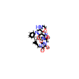 COc1ccccc1N(CC1COCCN1)C(=O)Cc1noc(CN2C(=O)C(=O)N(CC3CC3)C2=O)n1